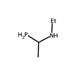 CCNC(C)P